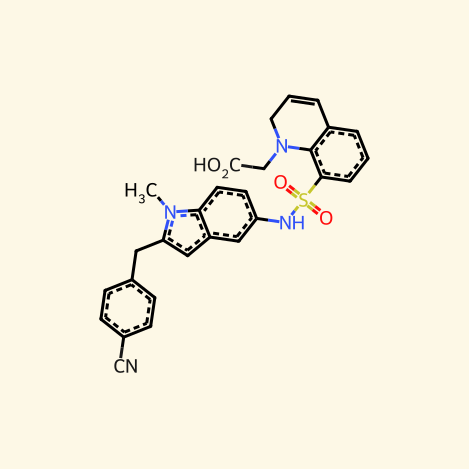 Cn1c(Cc2ccc(C#N)cc2)cc2cc(NS(=O)(=O)c3cccc4c3N(CC(=O)O)CC=C4)ccc21